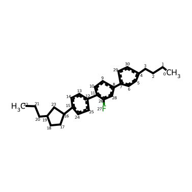 CCCCc1ccc(-c2ccc(-c3ccc(C4CCC(CCC)C4)cc3)c(F)c2)cc1